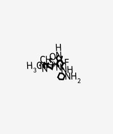 Cc1c2sc(-c3nc(N[C@@H]4CCCC[C@@H]4N)c(F)c4c3C(=O)NC4)cc2nn1C